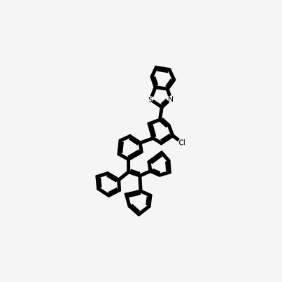 Clc1cc(-c2cccc(C(=C(c3ccccc3)c3ccccc3)c3ccccc3)c2)cc(-c2nc3ccccc3s2)c1